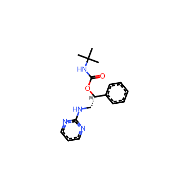 CC(C)(C)NC(=O)O[C@@H](CNc1ncccn1)c1ccccc1